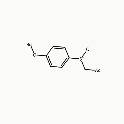 CCC(C)Oc1ccc([S+]([O-])CC(C)=O)cc1